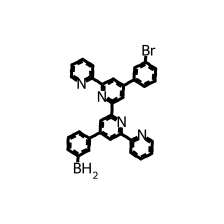 Bc1cccc(-c2cc(-c3ccccn3)nc(-c3cc(-c4cccc(Br)c4)cc(-c4ccccn4)n3)c2)c1